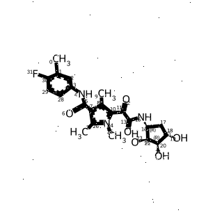 Cc1cc(NC(=O)c2c(C)c(C(=O)C(=O)N[C@@H]3C[C@H](O)[C@@H](O)[C@H]3O)n(C)c2C)ccc1F